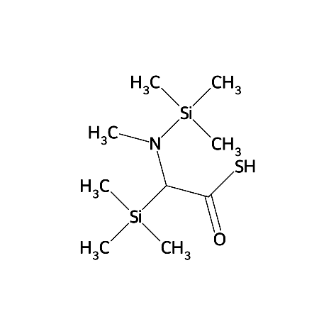 CN(C(C(=O)S)[Si](C)(C)C)[Si](C)(C)C